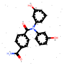 NC(=O)c1ccc(C(=O)N(c2cccc(O)c2)c2cccc(O)c2)cc1